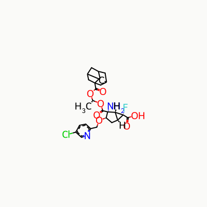 C[C@@H](OC(=O)C12CC3CC(CC(C3)C1)C2)OC(=O)[C@@]1(N)[C@H]2[C@@H](C[C@H]1OCc1ccc(Cl)cn1)[C@]2(F)C(=O)O